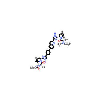 COC(=O)N[C@H](C(=O)N1[C@@H]2C[C@@H]2C[C@H]1c1nc(-c2ccc(-c3ccc4nc(-c5c[nH]c([C@@H]6C[C@H]7C[C@H]7N6C(=O)[C@H](C(C)C)N(C)C(=O)O)n5)ccc4c3)cc2)c[nH]1)C(C)C